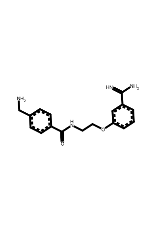 N=C(N)c1cccc(OCCNC(=O)c2ccc(CN)cc2)c1